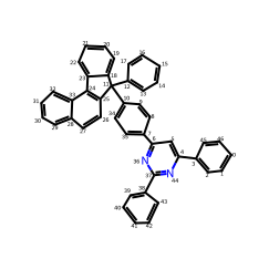 c1ccc(-c2cc(-c3ccc(C4(c5ccccc5)c5ccccc5-c5c4ccc4ccccc54)cc3)nc(-c3ccccc3)n2)cc1